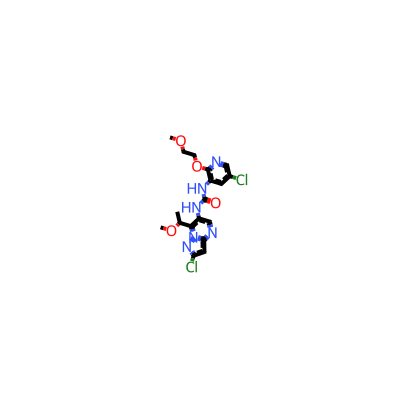 COCCOc1ncc(Cl)cc1NC(=O)Nc1cnc2cc(Cl)nn2c1C(C)OC